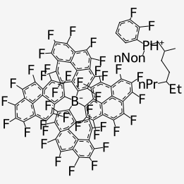 CCCCCCCCC[PH+](CC(C)CCC(CC)CCC)c1cccc(F)c1F.Fc1c(F)c2c(F)c(F)c3c(F)c(F)c([B-](c4c(F)c(F)c5c(F)c(F)c6c(F)c(F)c(F)c7c(F)c(F)c4c5c67)(c4c(F)c(F)c5c(F)c(F)c6c(F)c(F)c(F)c7c(F)c(F)c4c5c67)c4c(F)c(F)c5c(F)c(F)c6c(F)c(F)c(F)c7c(F)c(F)c4c5c67)c4c(F)c(F)c(c1F)c2c34